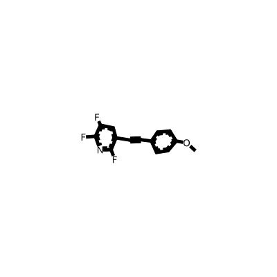 COc1ccc(C#Cc2cc(F)c(F)nc2F)cc1